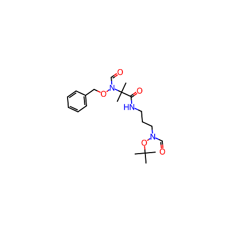 CC(C)(C)ON(C=O)CCCNC(=O)C(C)(C)N(C=O)OCc1ccccc1